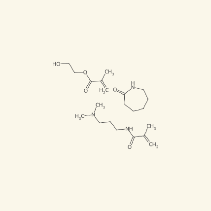 C=C(C)C(=O)NCCCN(C)C.C=C(C)C(=O)OCCO.O=C1CCCCCN1